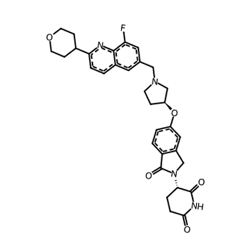 O=C1CC[C@H](N2Cc3cc(O[C@H]4CCN(Cc5cc(F)c6nc(C7CCOCC7)ccc6c5)C4)ccc3C2=O)C(=O)N1